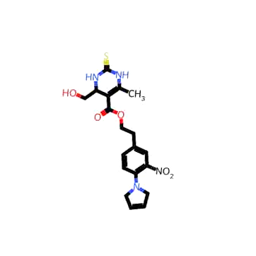 CC1=C(C(=O)OCCc2ccc(N3CC=CC3)c([N+](=O)[O-])c2)C(CO)NC(=S)N1